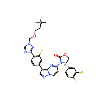 C[Si](C)(C)CCOCn1cnc(-c2ccc(-c3cnn4ccc(N5C(=O)OC[C@@H]5c5ccc(F)c(F)c5)nc34)cc2F)n1